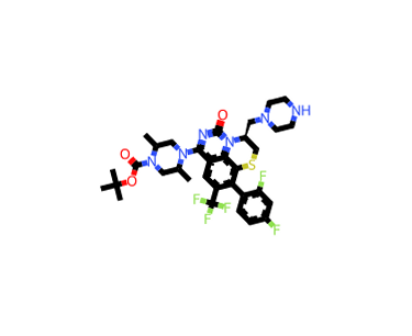 CC1CN(c2nc(=O)n3c4c(c(-c5ccc(F)cc5F)c(C(F)(F)F)cc24)SC[C@@H]3CN2CCNCC2)C(C)CN1C(=O)OC(C)(C)C